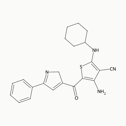 N#Cc1c(NC2CCCCC2)sc(C(=O)C2=CC(c3ccccc3)=NC2)c1N